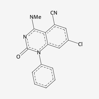 CNc1nc(=O)n(-c2ccccc2)c2cc(Cl)cc(C#N)c12